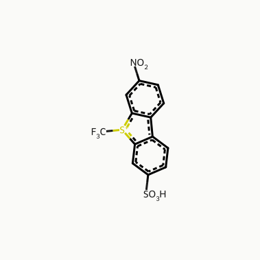 O=[N+]([O-])c1ccc2c3ccc(S(=O)(=O)O)cc3[s+](C(F)(F)F)c2c1